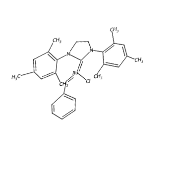 Cc1cc(C)c(N2CCN(c3c(C)cc(C)cc3C)[C]2=[Ru](/[Cl])=[CH]/c2ccccc2)c(C)c1